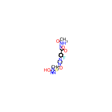 CC(=O)NCn1cc(-c2ccc(N3CCN(C(=O)CSc4nnc(O)n4C)CC3)c(F)c2)c(=O)o1